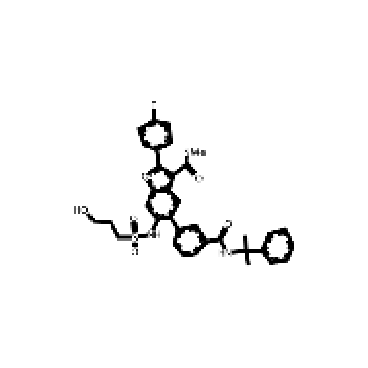 CNC(=O)c1c(-c2ccc(F)cc2)oc2cc(NS(=O)(=O)CCCO)c(-c3cccc(C(=O)NC(C)(C)c4ccccc4)c3)cc12